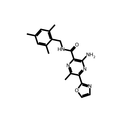 Cc1cc(C)c(CNC(=O)c2nc(C)c(-c3ncco3)nc2N)c(C)c1